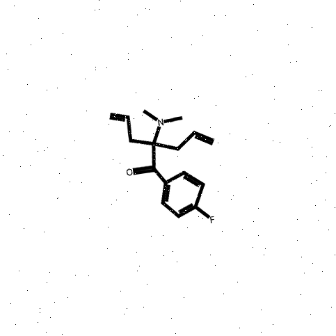 C=CCC(CC=C)(C(=O)c1ccc(F)cc1)N(C)C